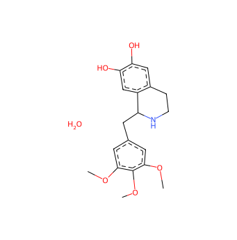 COc1cc(CC2NCCc3cc(O)c(O)cc32)cc(OC)c1OC.O